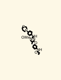 C=CC(=O)Nc1cccc(Oc2nc(Nc3ccc(N4CCCOCC4)cc3OC)ncc2C)c1